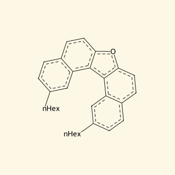 CCCCCCc1ccc2ccc3oc4ccc5ccc(CCCCCC)cc5c4c3c2c1